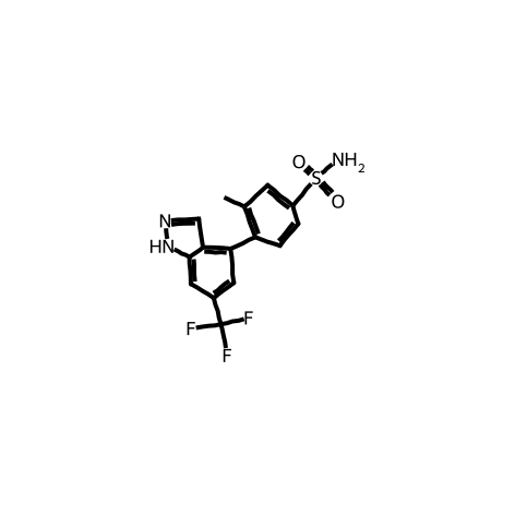 Cc1cc(S(N)(=O)=O)ccc1-c1cc(C(F)(F)F)cc2[nH]ncc12